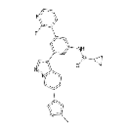 Cn1cc(-c2ccc3c(-c4cc(N[S+]([O-])C5CC5)cc(-c5cccnc5F)c4)cnn3c2)cn1